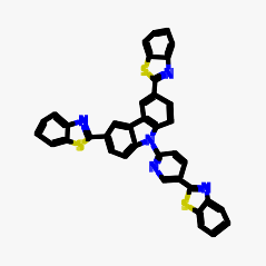 c1ccc2sc(-c3ccc(-n4c5ccc(-c6nc7ccccc7s6)cc5c5cc(-c6nc7ccccc7s6)ccc54)nc3)nc2c1